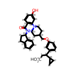 O=C(O)CC(c1cccc(OCC2CCN(c3cc(O)ccc3C(=O)NC3CCc4ccccc43)CC2)c1)C1CC1